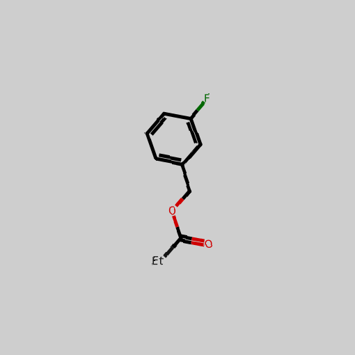 CCC(=O)OCc1cccc(F)c1